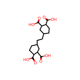 O=C(O)C1CCC(CCC2CCC(C(=O)O)C(C(=O)O)C2)CC1C(=O)O